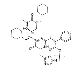 CNC(=O)[C@H](CC1CCCCC1)C[C@H](O)[C@H](CC1CCCCC1)[AsH]C(=O)C(Cc1c[nH]cn1)NC(=O)C(C)N(C(=O)OC(C)(C)C)c1ccccc1